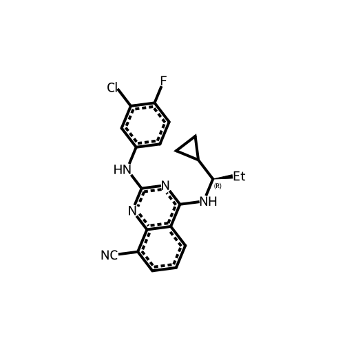 CC[C@@H](Nc1nc(Nc2ccc(F)c(Cl)c2)nc2c(C#N)cccc12)C1CC1